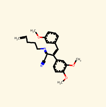 C=CCCCN=C(C#N)C(=Cc1cccc(OC)c1)c1ccc(OC)c(OC)c1